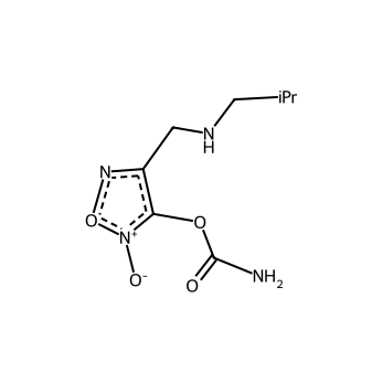 CC(C)CNCc1no[n+]([O-])c1OC(N)=O